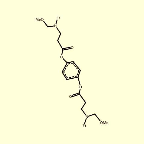 CCN(CCC(=O)Oc1ccc(OC(=O)CCN(CC)COC)cc1)COC